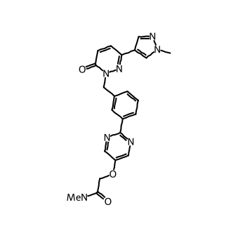 CNC(=O)COc1cnc(-c2cccc(Cn3nc(-c4cnn(C)c4)ccc3=O)c2)nc1